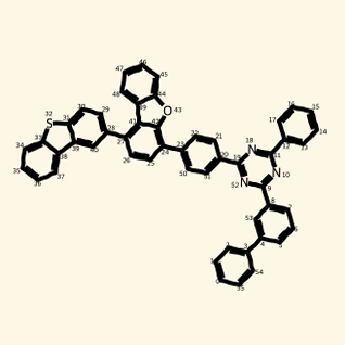 c1ccc(-c2cccc(-c3nc(-c4ccccc4)nc(-c4ccc(-c5ccc(-c6ccc7sc8ccccc8c7c6)c6c5oc5ccccc56)cc4)n3)c2)cc1